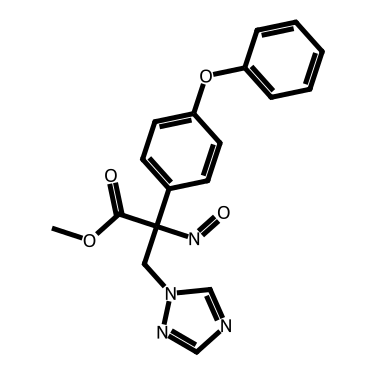 COC(=O)C(Cn1cncn1)(N=O)c1ccc(Oc2ccccc2)cc1